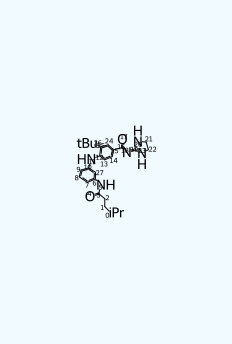 CC(C)CCC(=O)Nc1cccc(Nc2ccc(C(=O)N=C3NCCN3)cc2C(C)(C)C)c1